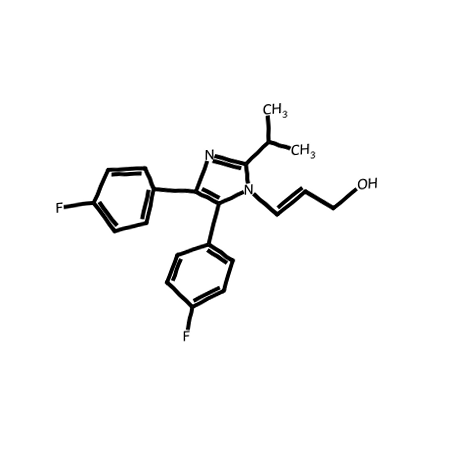 CC(C)c1nc(-c2ccc(F)cc2)c(-c2ccc(F)cc2)n1/C=C/CO